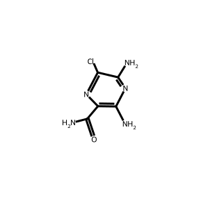 NC(=O)c1nc(Cl)c(N)nc1N